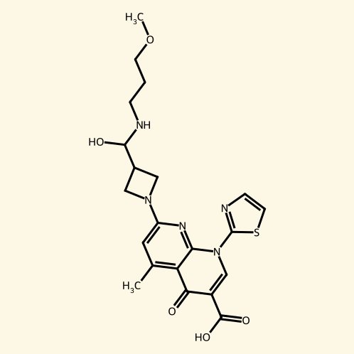 COCCCNC(O)C1CN(c2cc(C)c3c(=O)c(C(=O)O)cn(-c4nccs4)c3n2)C1